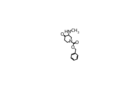 CNC1CN(C(=O)OCc2ccccc2)CCC1=O